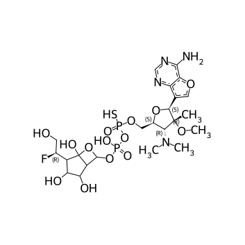 CO[C@@]1(C)[C@H](c2coc3c(N)ncnc23)O[C@H](COP(=O)(S)OP(=O)(O)OC2OC3(O)C2C(O)C(O)C3[C@@H](F)CO)[C@H]1N(C)C